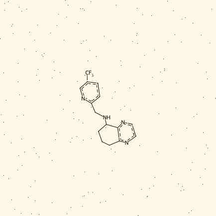 FC(F)(F)c1ccc(CNC2CCCc3nccnc32)nc1